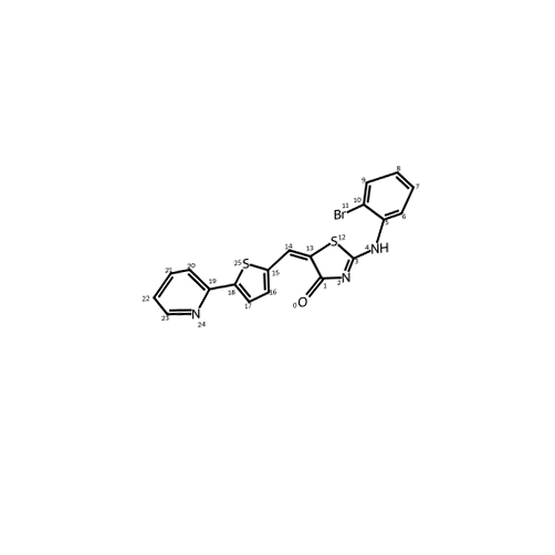 O=C1N=C(Nc2ccccc2Br)S/C1=C/c1ccc(-c2ccccn2)s1